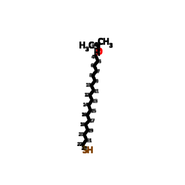 C[SiH](C)OCCCCCCCCCCCCCCCCCCCS